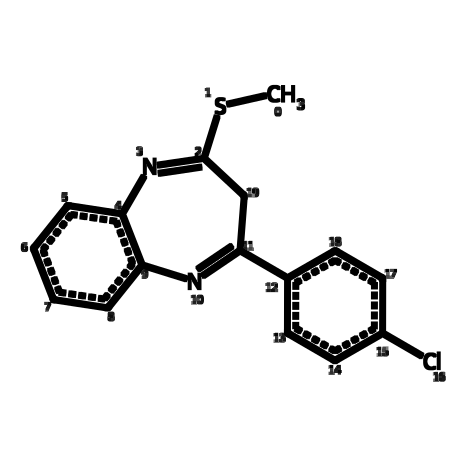 CSC1=Nc2ccccc2N=C(c2ccc(Cl)cc2)C1